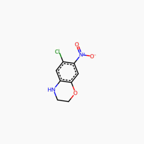 O=[N+]([O-])c1cc2c(cc1Cl)NCCO2